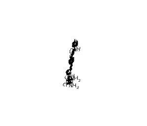 CN1CCC(NC(=O)COc2ccc(CCCN3CCCC(NC(=O)c4nc(Cl)c(N)nc4N)C3)cc2)CC1